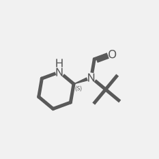 CC(C)(C)N(C=O)[C@H]1CCCCN1